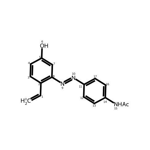 C=Cc1ccc(O)cc1N=Nc1ccc(NC(C)=O)cc1